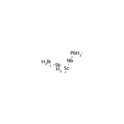 [BiH3].[Nb].[PbH2].[SbH3].[Sc]